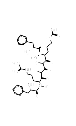 CCCN(C(=O)[C@H](N)Cc1ccccc1)C(CCCNC(=N)N)C(=O)C(Cl)C(=O)C(Cl)C(=O)C(CCCNC(=N)N)N(CCC)C(=O)[C@H](N)Cc1ccccc1